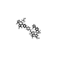 COC(=O)C[C@@H]1N=C(c2ccc(N3CCN(CCC(=O)N[C@H](C(=O)N4C[C@H](O)C[C@H]4C(=O)N[C@@H](C)c4ccc(-c5scnc5C)cc4)C(C)(C)C)CC3)cc2)c2c(sc(C)c2C)-n2c(C)nnc21